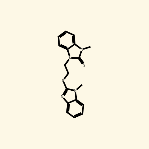 Cn1c(SCCn2c(=S)n(C)c3ccccc32)nc2ccccc21